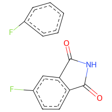 Fc1ccccc1.O=C1NC(=O)c2cc(F)ccc21